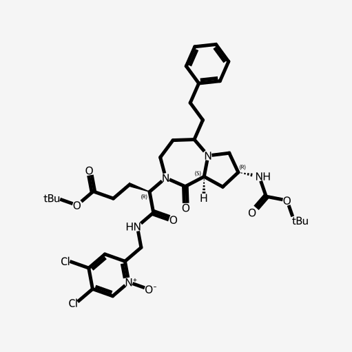 CC(C)(C)OC(=O)CC[C@H](C(=O)NCc1cc(Cl)c(Cl)c[n+]1[O-])N1CCC(CCc2ccccc2)N2C[C@H](NC(=O)OC(C)(C)C)C[C@H]2C1=O